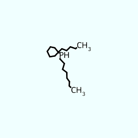 CCCCCCCCPC1(CCCCC)CCCCC1